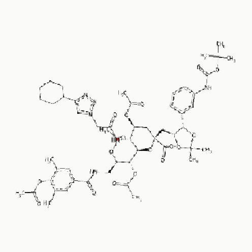 CC(=O)Oc1c(C)cc(C(=O)NC[C@@H](OC(C)=O)[C@@H](OC(C)=O)[C@@H]2O[C@@](C[C@@H]3OC(C)(C)O[C@H]3c3cccc(NC(=O)OC(C)(C)C)c3)(C(=O)O)C[C@H](OC(C)=O)[C@H]2NC(=O)Cn2cc(C3CCCCC3)nn2)cc1C